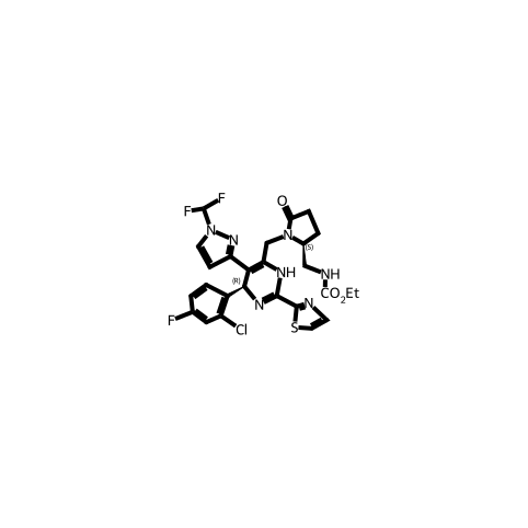 CCOC(=O)NC[C@@H]1CCC(=O)N1CC1=C(c2ccn(C(F)F)n2)[C@H](c2ccc(F)cc2Cl)N=C(c2nccs2)N1